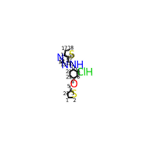 Cl.c1csc(COc2ccc(Nc3ncnc4ccsc34)cc2)c1